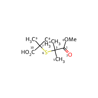 COC(=O)C(C)(C)SC(C)(C)C(=O)O